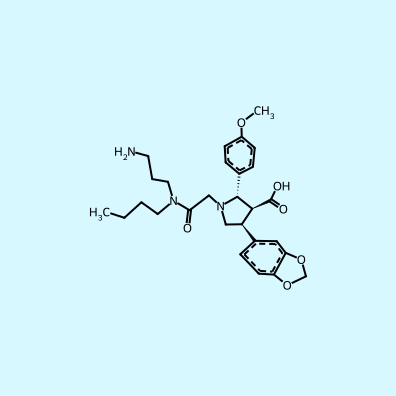 CCCCN(CCCN)C(=O)CN1C[C@H](c2ccc3c(c2)OCO3)[C@H](C(=O)O)[C@H]1c1ccc(OC)cc1